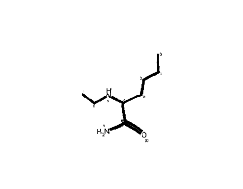 CCCCC(NCC)C(N)=O